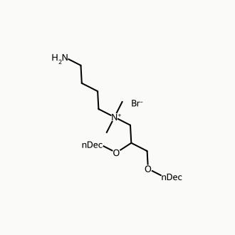 CCCCCCCCCCOCC(C[N+](C)(C)CCCCN)OCCCCCCCCCC.[Br-]